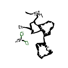 CCC1=Cc2c(-c3ccccc3)cccc2C1[SiH](C)C.[Cl][Zr][Cl]